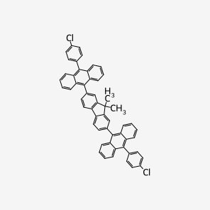 CC1(C)c2cc(-c3c4ccccc4c(-c4ccc(Cl)cc4)c4ccccc34)ccc2-c2ccc(-c3c4ccccc4c(-c4ccc(Cl)cc4)c4ccccc34)cc21